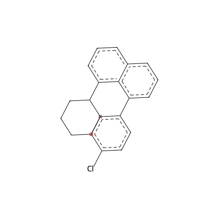 Clc1ccc(-c2cccc3cccc(C4CCCCC4)c23)cc1